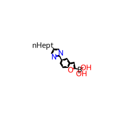 CCCCCCCc1cnc(-c2ccc3oc(B(O)O)cc3c2)nc1